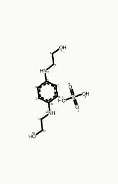 O=S(=O)(O)O.OCCNc1ccc(NCCO)cc1